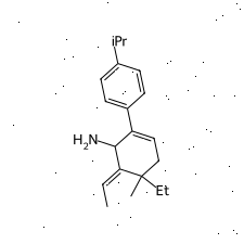 C/C=C1/C(N)C(c2ccc(C(C)C)cc2)=CCC1(C)CC